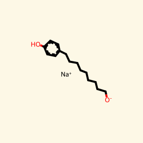 [Na+].[O-]CCCCCCCCCc1ccc(O)cc1